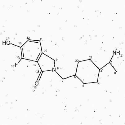 CC(N)C1CCC(CN2Cc3ccc(O)c(F)c3C2=O)CC1